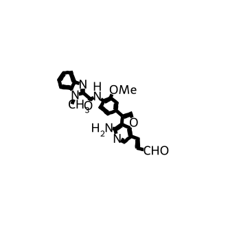 COc1cc(-c2coc3c(C=CC=O)cnc(N)c23)ccc1NC(=O)c1nc2ccccc2n1C